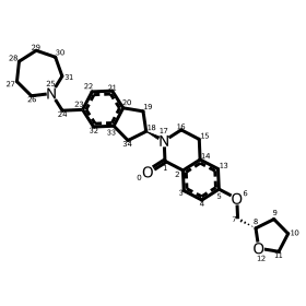 O=C1c2ccc(OC[C@@H]3CCCO3)cc2CCN1[C@@H]1Cc2ccc(CN3CCCCCC3)cc2C1